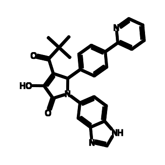 CC(C)(C)C(=O)C1=C(O)C(=O)N(c2ccc3[nH]cnc3c2)C1c1ccc(-c2ccccn2)cc1